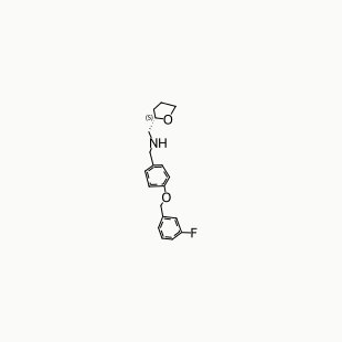 Fc1cccc(COc2ccc(CNC[C@@H]3CCCO3)cc2)c1